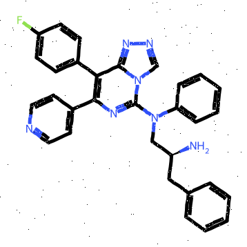 N[C@@H](Cc1ccccc1)CN(c1ccccc1)c1nc(-c2ccncc2)c(-c2ccc(F)cc2)c2nncn12